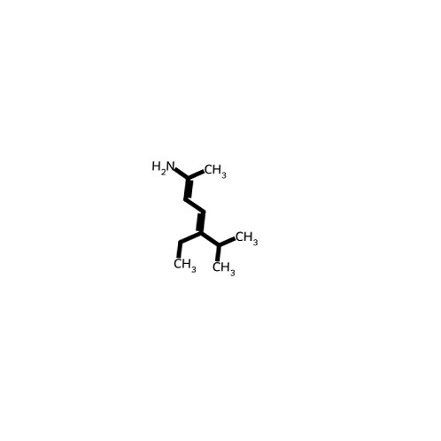 CC/C(=C\C=C(/C)N)C(C)C